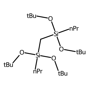 CCC[Si](C[Si](CCC)(OC(C)(C)C)OC(C)(C)C)(OC(C)(C)C)OC(C)(C)C